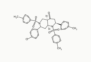 Cc1ccc([C@@H]2CC(=O)[C@@H]3CN(S(=O)(=O)c4ccc(C)cc4)C(c4ccc(Cl)cc4)C[C@@H]3N2S(=O)(=O)c2ccc(C)cc2)cc1